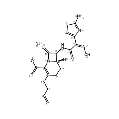 C=CCSC1=C(C(=O)[O-])N2C(=O)[C@@H](NC(=O)/C(=N\O)c3csc(N)n3)[C@@H]2SC1.[Na+]